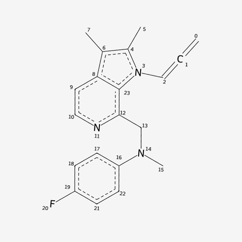 C=C=Cn1c(C)c(C)c2ccnc(CN(C)c3ccc(F)cc3)c21